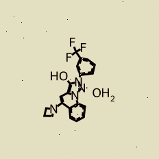 O.OC1=C2C=C(N3CCC3)c3ccccc3N2[N]N1c1cccc(C(F)(F)F)c1